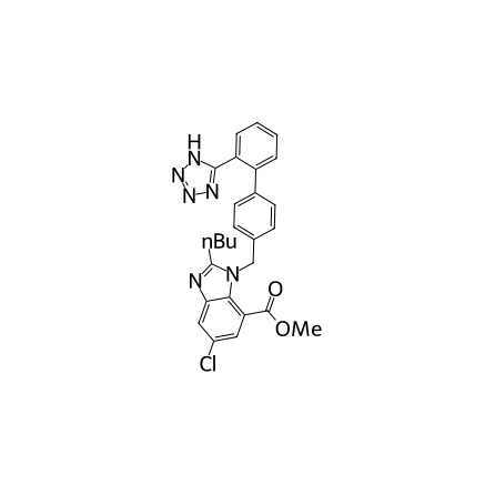 CCCCc1nc2cc(Cl)cc(C(=O)OC)c2n1Cc1ccc(-c2ccccc2-c2nnn[nH]2)cc1